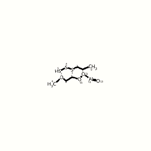 CCCSSS.COCCO[O][Al]=[O]